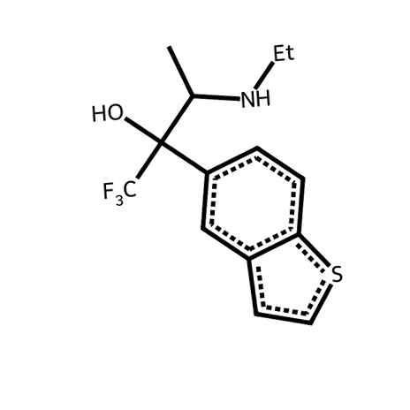 CCNC(C)C(O)(c1ccc2sccc2c1)C(F)(F)F